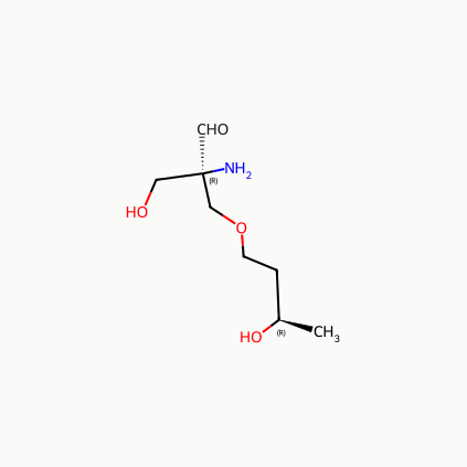 C[C@@H](O)CCOC[C@@](N)(C=O)CO